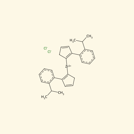 CC(C)c1ccccc1C1=[C]([Zr+2][C]2=C(c3ccccc3C(C)C)C=CC2)CC=C1.[Cl-].[Cl-]